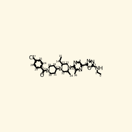 CCNc1nnc(-c2cnc(N3CC(CC)N(C4CCN(C(=O)c5ccc(Cl)cc5)CC4)CC3C)c(C)n2)o1